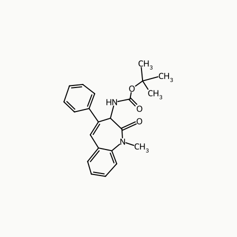 CN1C(=O)C(NC(=O)OC(C)(C)C)C(c2ccccc2)=Cc2ccccc21